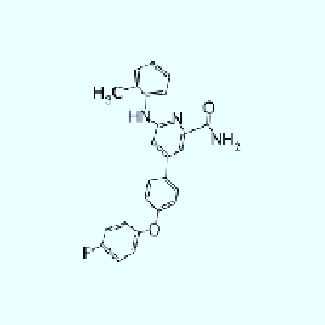 Cc1ccccc1Nc1cc(-c2ccc(Oc3ccc(F)cc3)cc2)cc(C(N)=O)n1